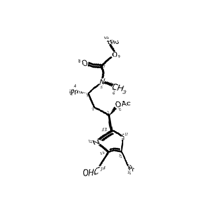 CC(=O)O[C@H](C[C@H](C(C)C)N(C)C(=O)OC(C)(C)C)c1nc(C=O)c(C(C)C)s1